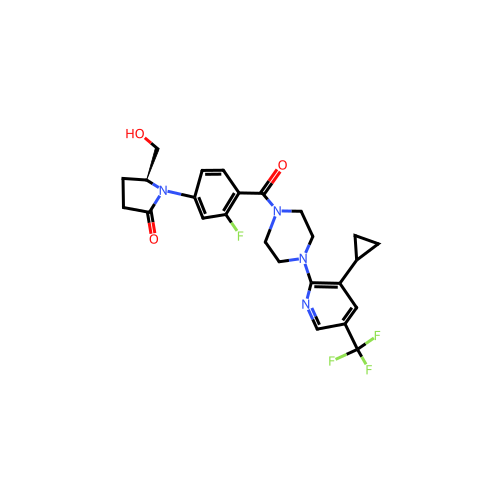 O=C(c1ccc(N2C(=O)CC[C@H]2CO)cc1F)N1CCN(c2ncc(C(F)(F)F)cc2C2CC2)CC1